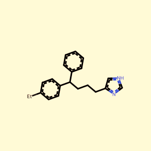 CCc1ccc(C(CCCc2c[nH]cn2)c2ccccc2)cc1